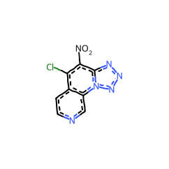 O=[N+]([O-])c1c(Cl)c2ccncc2n2nnnc12